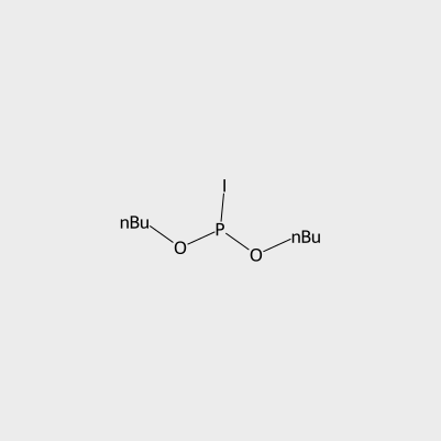 CCCCOP(I)OCCCC